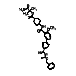 COc1ccc(-c2ccc(C(=N)NC(=O)OCc3ccccc3)cc2)cc1C(=O)NC1CCC(C(=O)OC(C)(C)C(N)=O)CC1